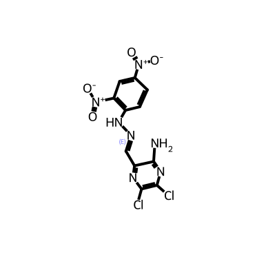 Nc1nc(Cl)c(Cl)nc1/C=N/Nc1ccc([N+](=O)[O-])cc1[N+](=O)[O-]